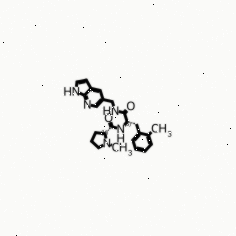 Cc1ccccc1C[C@H](NC(=O)[C@H]1CCCN1C)C(=O)NCc1cnc2[nH]ccc2c1